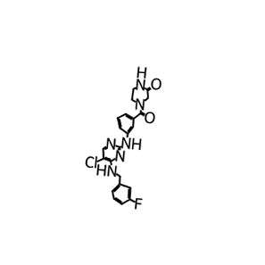 O=C1CN(C(=O)c2cccc(Nc3ncc(Cl)c(NCc4cccc(F)c4)n3)c2)CCN1